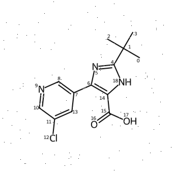 CC(C)(C)c1nc(-c2cncc(Cl)c2)c(C(=O)O)[nH]1